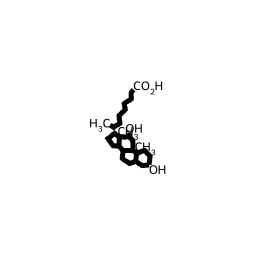 CC(CCCCCCC(=O)O)[C@H]1CCC2C3CCC4CC(O)CC[C@]4(C)C3CC(O)[C@@]21C